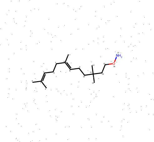 CC(C)=CCCC(C)=CCCC(C)(C)CCON